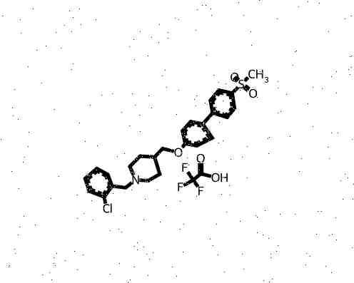 CS(=O)(=O)c1ccc(-c2ccc(OCC3CCN(Cc4ccccc4Cl)CC3)cc2)cc1.O=C(O)C(F)(F)F